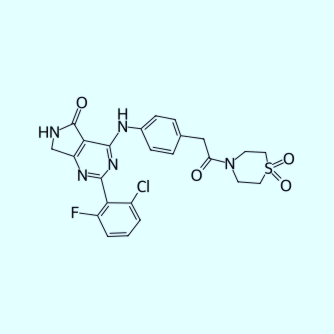 O=C1NCc2nc(-c3c(F)cccc3Cl)nc(Nc3ccc(CC(=O)N4CCS(=O)(=O)CC4)cc3)c21